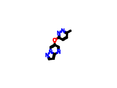 Cc1ccc(Oc2cnc3ccnn3c2)nn1